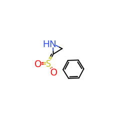 O=S(=O)=C1CN1.c1ccccc1